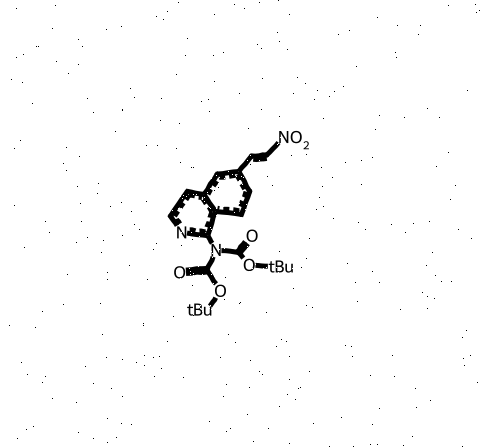 CC(C)(C)OC(=O)N(C(=O)OC(C)(C)C)c1nccc2cc(/C=C/[N+](=O)[O-])ccc12